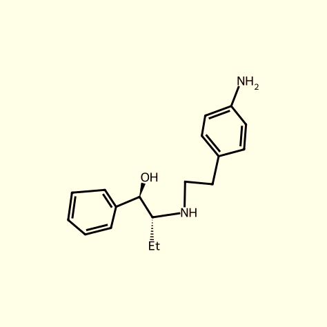 CC[C@@H](NCCc1ccc(N)cc1)[C@H](O)c1ccccc1